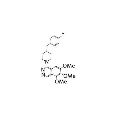 COc1cc2c(N3CCC(Cc4ccc(F)cc4)CC3)nncc2c(OC)c1OC